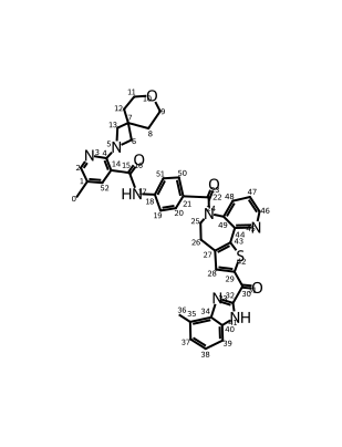 Cc1cnc(N2CC3(CCOCC3)C2)c(C(=O)Nc2ccc(C(=O)N3CCc4cc(C(=O)c5nc6c(C)cccc6[nH]5)sc4-c4ncccc43)cc2)c1